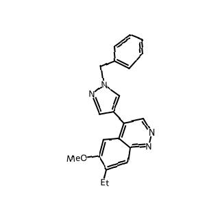 CCc1cc2nncc(-c3cnn(Cc4ccccc4)c3)c2cc1OC